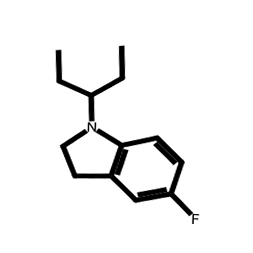 CCC(CC)N1CCc2cc(F)ccc21